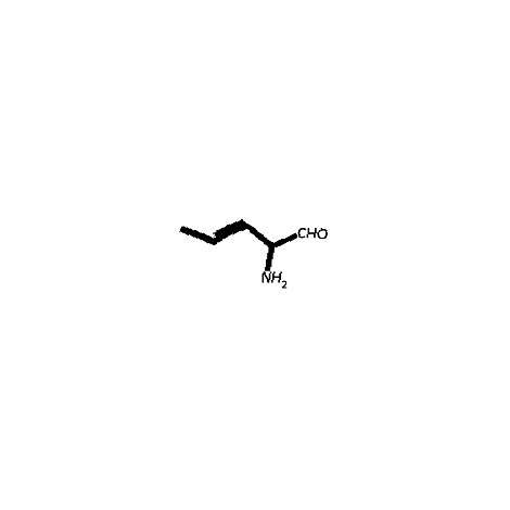 CC=CC(N)C=O